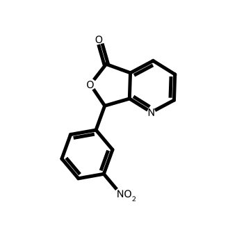 O=C1OC(c2cccc([N+](=O)[O-])c2)c2ncccc21